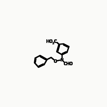 O=CN(OCc1ccccc1)c1cccc(C(=O)O)c1